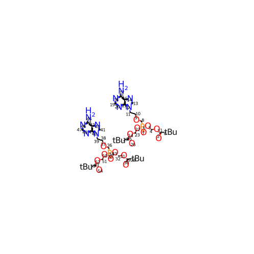 CC(C)(C)C(=O)OCOP(=O)(COCCn1cnc2c(N)ncnc21)OCOC(=O)C(C)(C)C.CC(C)(C)C(=O)OCOP(=O)(COCCn1cnc2c(N)ncnc21)OCOC(=O)C(C)(C)C